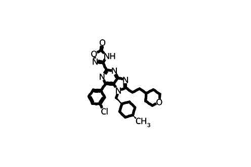 C[C@H]1CC[C@H](Cn2c(CCC3CCOCC3)nc3nc(-c4noc(=O)[nH]4)nc(-c4cccc(Cl)c4)c32)CC1